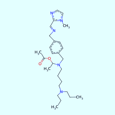 CCCN(CCC)CCCCN(Cc1ccc(CN=Cc2nccn2C)cc1)C(C)OC(C)=O